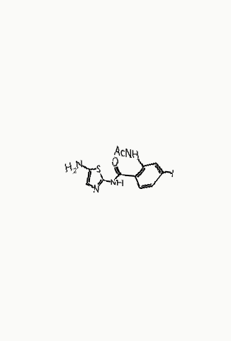 CC(=O)Nc1cc(I)ccc1C(=O)Nc1ncc(N)s1